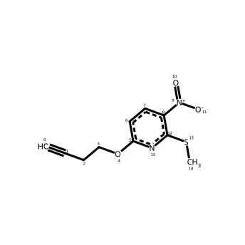 C#CCCOc1ccc([N+](=O)[O-])c(SC)n1